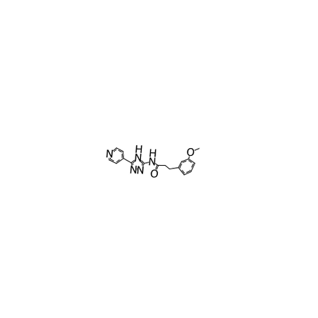 COc1cccc(CCC(=O)Nc2nnc(-c3ccncc3)[nH]2)c1